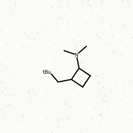 CN(C)C1CCC1CC(C)(C)C